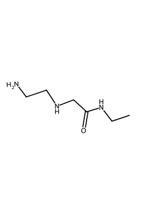 CCNC(=O)CNCCN